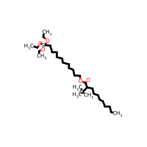 CCCCCCCCCC(C(=O)OCCCCCCCCCCC[Si](OCC)(OCC)OCC)[Si](C)(C)C